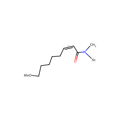 COCCCCC/C=C\C(=O)N(C)C(C)=O